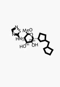 CO[C@H]1O[C@H](C2CCC(CC3CCCC3)C2)[C@H](O)[C@H](O)[C@@H]1Nc1ncns1